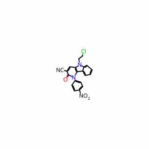 N#Cc1cc2c(c3ccccc3n2CCCl)n(-c2ccc([N+](=O)[O-])cc2)c1=O